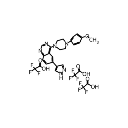 COc1ccc(N2CCN(c3ncnc4ccc(-c5cn[nH]c5)cc34)CC2)cc1.O=C(O)C(F)(F)F.O=C(O)C(F)(F)F.O=C(O)C(F)(F)F